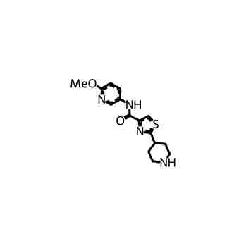 COc1ccc(NC(=O)c2csc(C3CCNCC3)n2)cn1